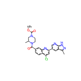 CCCOC(=O)N1CCN(C(=O)c2ccc3c(Cl)cc(-c4cnc5[nH]nc(C)c5c4)nc3c2)C(C)C1